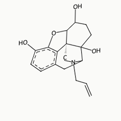 C=CCN1CC[C@]23c4c5ccc(O)c4OC2C(O)CCC3(O)C1C5